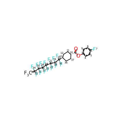 O=C(Oc1ccc(F)cc1)[C@H]1CC[C@H](C(F)(F)C(F)(F)C(F)(F)C(F)(F)C(F)(F)C(F)(F)C(F)(F)C(F)(F)F)CC1